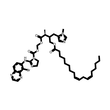 CCCCC/C=C\C/C=C\CCCCCCCC(=O)OCC(Cc1cncn1C)[C@H](C)C(=O)OCOC(=O)N1CCN=C1Nc1ccc2nccnc2c1Br